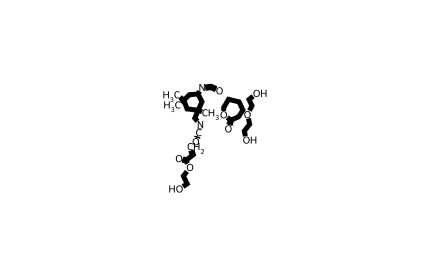 C=CC(=O)OCCO.CC1(C)CC(N=C=O)CC(C)(CN=C=O)C1.O=C1CCCCCO1.OCCOCCO